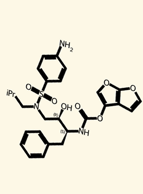 CC(C)CN(C[C@@H](O)[C@H](Cc1ccccc1)NC(=O)Oc1coc2occc12)S(=O)(=O)c1ccc(N)cc1